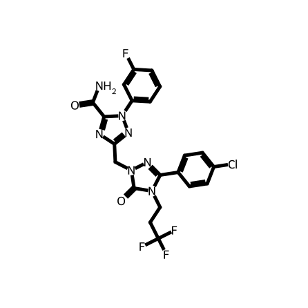 NC(=O)c1nc(Cn2nc(-c3ccc(Cl)cc3)n(CCC(F)(F)F)c2=O)nn1-c1cccc(F)c1